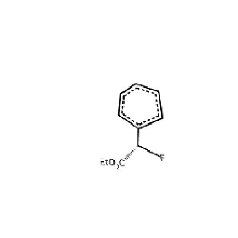 CCOC(=O)[C@@H](F)c1ccccc1